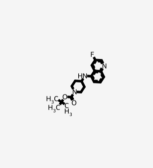 CC(C)(C)OC(=O)N1CCC(Nc2cccc3ncc(F)cc23)CC1